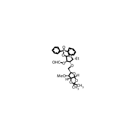 CC[C@H]1OC(OP(=O)(c2ccccc2)c2ccccc2)[C@H](OC=O)[C@H]1OC[C@H]1O[C@@H]2OC(C)(C)O[C@@H]2[C@H]1OC